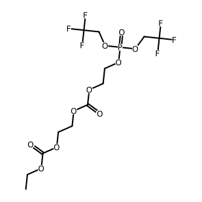 CCOC(=O)OCCOC(=O)OCCOP(=O)(OCC(F)(F)F)OCC(F)(F)F